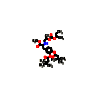 CCC(C)OC(=O)OC(C)CN[C@@H](Cc1ccc(OC(=O)CC(C)(C)C)c(OC(=O)CC(C)(C)C)c1)C(=O)OC